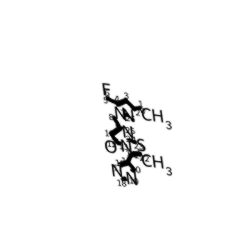 CCc1cc(CF)n(Cc2cc(=O)n3c(-c4cncnc4)c(C)sc3n2)n1